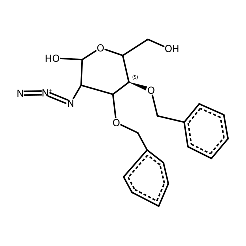 [N-]=[N+]=NC1C(O)OC(CO)[C@@H](OCc2ccccc2)C1OCc1ccccc1